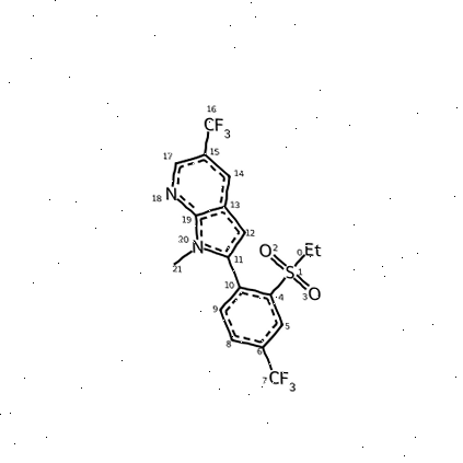 CCS(=O)(=O)c1cc(C(F)(F)F)ccc1-c1cc2cc(C(F)(F)F)cnc2n1C